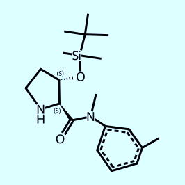 Cc1cccc(N(C)C(=O)[C@H]2NCC[C@@H]2O[Si](C)(C)C(C)(C)C)c1